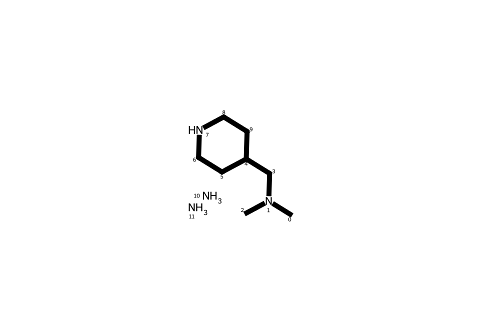 CN(C)CC1CCNCC1.N.N